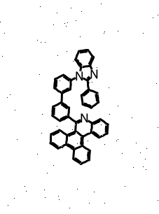 c1ccc(-c2nc3ccccc3n2-c2cccc(-c3cccc(-c4nc5ccccc5c5c6ccccc6c6ccccc6c45)c3)c2)cc1